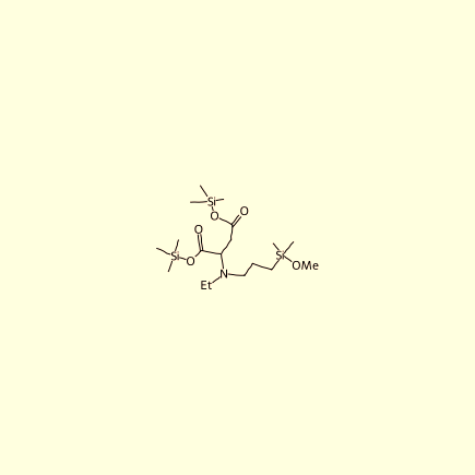 CCN(CCC[Si](C)(C)OC)C(CC(=O)O[Si](C)(C)C)C(=O)O[Si](C)(C)C